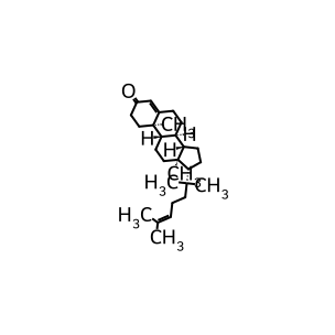 CC(C)=CCCC(C)(C)[C@H]1CC[C@H]2[C@@H]3CCC4=CC(=O)CC[C@]4(C)[C@H]3CC[C@]12C